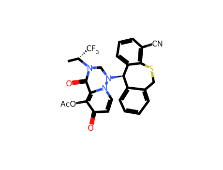 CC(=O)Oc1c2n(ccc1=O)N([C@@H]1c3ccccc3CSc3c(C#N)cccc31)CN([C@H](C)C(F)(F)F)C2=O